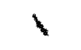 Cc1ccc2c(c1)C(C)(C)c1cc(-c3ccc4c(c3)C(C)(C)c3cc(CCOCC5CO5)ccc3-4)ccc1-2